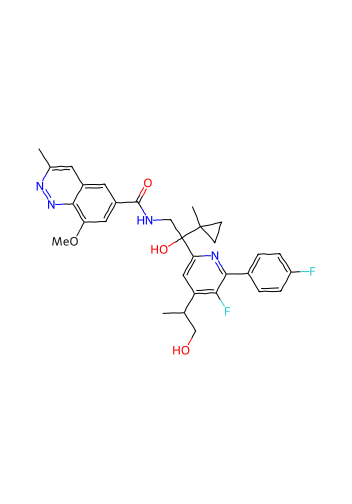 COc1cc(C(=O)NCC(O)(c2cc(C(C)CO)c(F)c(-c3ccc(F)cc3)n2)C2(C)CC2)cc2cc(C)nnc12